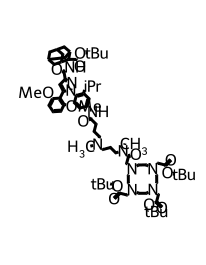 COc1cccc(OC)c1-c1cc(C(=O)NC2(C(=O)OC(C)(C)C)C3CC4CC(C3)CC2C4)nn1-c1ccc(NC(=O)CCCN(C)CCCN(C)C(=O)CN2CCN(CC(=O)OC(C)(C)C)CCN(CC(=O)OC(C)(C)C)CCN(CC(=O)OC(C)(C)C)CC2)cc1C(C)C